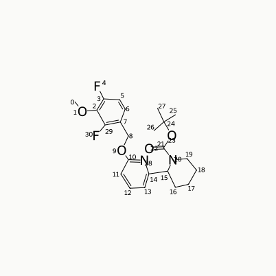 COc1c(F)ccc(COc2cccc(C3CCCCN3C(=O)OC(C)(C)C)n2)c1F